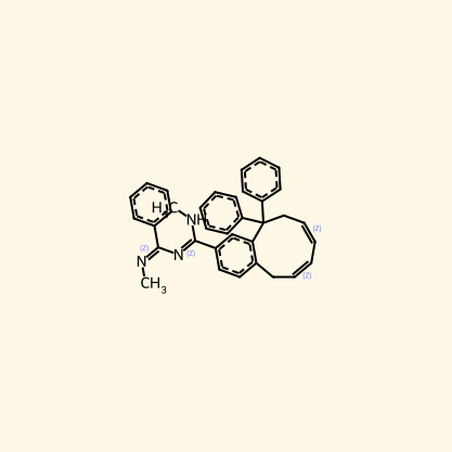 C/N=C(\N=C(/NC)c1ccc2c(c1)C(c1ccccc1)(c1ccccc1)C/C=C\C=C/C2)c1ccccc1